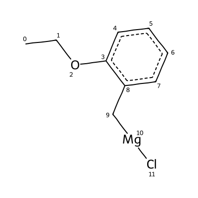 CCOc1ccccc1[CH2][Mg][Cl]